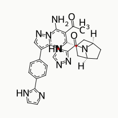 CC(=O)c1c([C@@H]2C[C@H]3CC[C@@H](C2)N3C(=O)c2nnc[nH]2)nc2c(-c3ccc(-c4ncc[nH]4)cc3)cnn2c1N